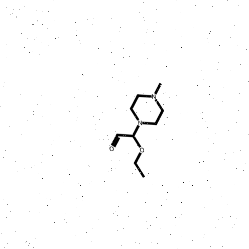 CCOC(C=O)N1CCN(C)CC1